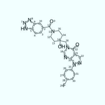 O=C(c1ccc2[nH]nnc2c1)N1CCC(O)(Cn2cnc3c(cnn3-c3ccc(F)cc3)c2=O)CC1